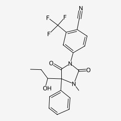 CCC(O)C1(c2ccccc2)C(=O)N(c2ccc(C#N)c(C(F)(F)F)c2)C(=O)N1C